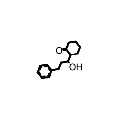 O=C1CCCC[C@H]1[C@@H](O)CCc1ccccc1